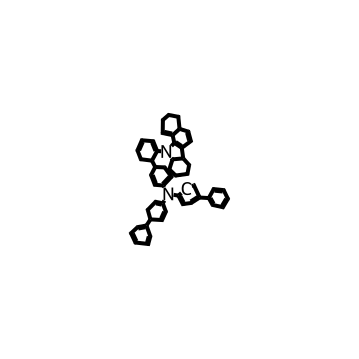 C1=CCC(C2C=CC(N(C3=CCC(c4ccccc4)C=C3)C3=CC=C(c4ccccc4)CC3)=CC2)C(N2C3=C(C=CC4CCCC=C34)C3CCCCC32)=C1